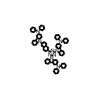 c1ccc(N(c2ccccc2)c2ccc3c(c2)c2ccccc2n3-c2ccc3cc(-c4nc(-n5c6ccccc6c6cc(N(c7ccccc7)c7ccccc7)ccc65)nc(-n5c6ccccc6c6cc(N(c7ccccc7)c7ccccc7)ccc65)n4)ccc3c2)cc1